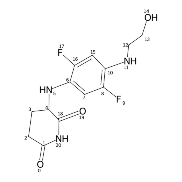 O=C1CCC(Nc2cc(F)c(NCCO)cc2F)C(=O)N1